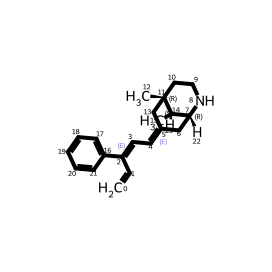 C=C/C(=C\C=C1\C[C@H]2NCC[C@@](C)(C1)[C@@H]2C)c1ccccc1